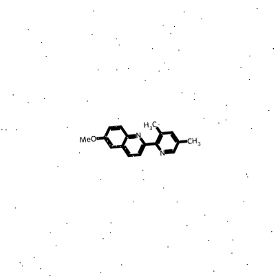 COc1ccc2nc(-c3ncc(C)cc3C)ccc2c1